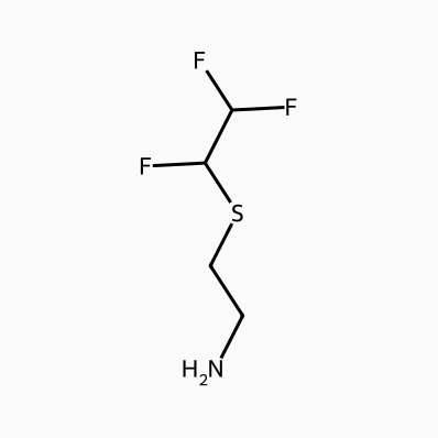 NCCSC(F)C(F)F